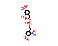 O=C(OCCc1ccc([N+](=O)[O-])cc1[N+](=O)[O-])OCCc1ccc([N+](=O)[O-])cc1[N+](=O)[O-]